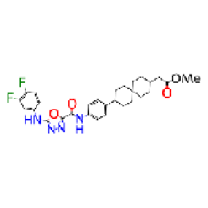 COC(=O)CC1CCC2(CC1)CCC(c1ccc(NC(=O)c3nnc(Nc4ccc(F)c(F)c4)o3)cc1)CC2